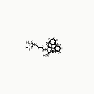 CN(C)CCCCN1C(=N)NC(c2ccccc2)(c2ccccc2)C1=O